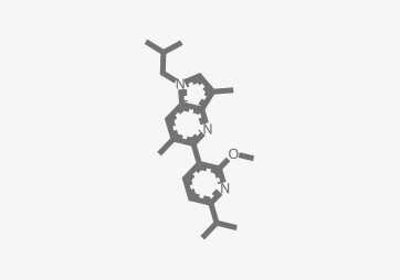 COc1nc(C(C)C)ccc1-c1nc2c(C)cn(CC(C)C)c2cc1C